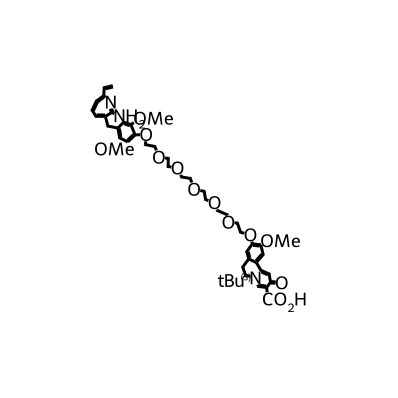 C=CC1=C=CC=C(Cc2cc(OC)c(OCCOCCOCCOCCOCCOCCOc3cc4c(cc3OC)-c3cc(=O)c(C(=O)O)cn3[C@H](C(C)(C)C)C4)c(OC)c2)C(N)=N1